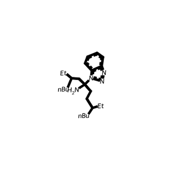 CCCCC(CC)CCC(N)(CC(CC)CCCC)n1nnc2ccccc21